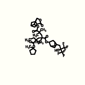 CCC(C)(CC(C)(CC(C)(C)C(=O)OC1C2CC3C(=O)OC1C3C2)C(=O)OC1CC2CC1CC2CC(O)(C(F)(F)F)C(F)(F)F)C(=O)OC1(C)CCCC1